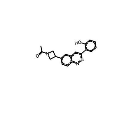 CC(=O)N1CC(c2ccc3nnc(-c4ccccc4O)cc3c2)C1